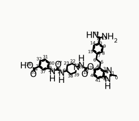 Cc1nc2c(CCc3ccc(C(=N)N)cc3)c(OC(=O)NN3CCC(NC(=O)Nc4cccc(C(=O)O)c4)CC3)ccc2[nH]1